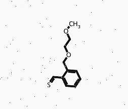 COCCOCc1ccccc1C=S